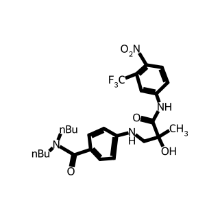 CCCCN(CCCC)C(=O)c1ccc(NCC(C)(O)C(=O)Nc2ccc([N+](=O)[O-])c(C(F)(F)F)c2)cc1